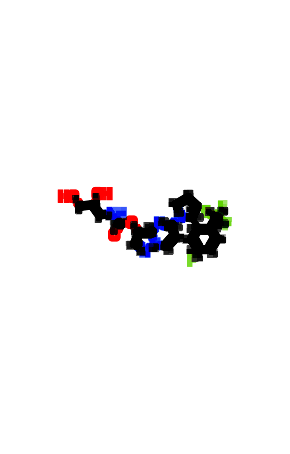 O=C(NC[C@@H](O)CO)Oc1cnn2ccc(N3CCC[C@@H]3c3cc(F)ccc3C(F)(F)F)nc12